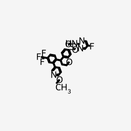 CCOc1ccc(-c2cc(C(F)(F)F)ccc2C2CCOc3cc(S(=O)(=O)Nc4ncc(F)cn4)ccc32)cn1